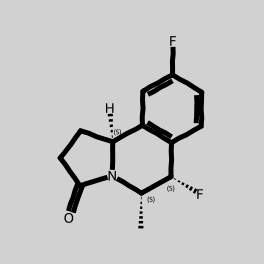 C[C@H]1[C@@H](F)c2ccc(F)cc2[C@@H]2CCC(=O)N21